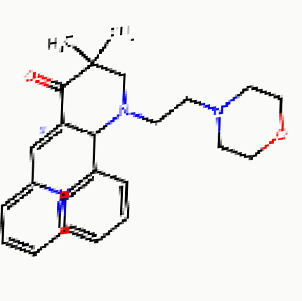 CC1(C)CN(CCN2CCOCC2)C(c2ccccc2)/C(=C\c2ccccn2)C1=O